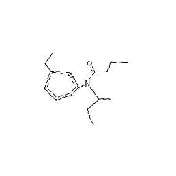 CCCC(=O)N(c1cccc(CC)c1)C(C)CC